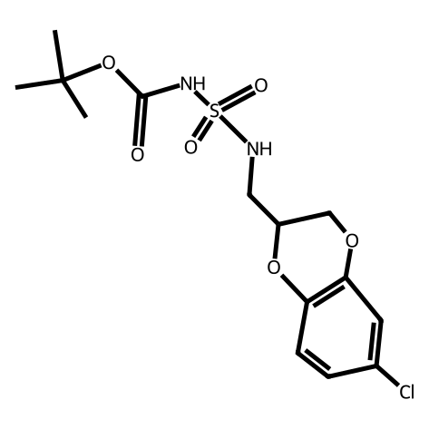 CC(C)(C)OC(=O)NS(=O)(=O)NCC1COc2cc(Cl)ccc2O1